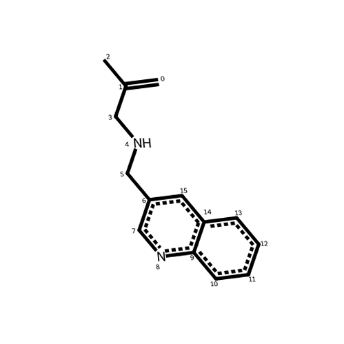 C=C(C)CNCc1cnc2ccccc2c1